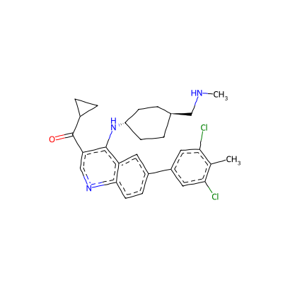 CNC[C@H]1CC[C@H](Nc2c(C(=O)C3CC3)cnc3ccc(-c4cc(Cl)c(C)c(Cl)c4)cc23)CC1